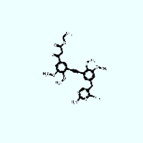 CCOC(=O)CC(=O)c1cc(C#Cc2cc(Cc3cnc(N)nc3N)cc(OC)c2OC)c(OC)c(OC)c1